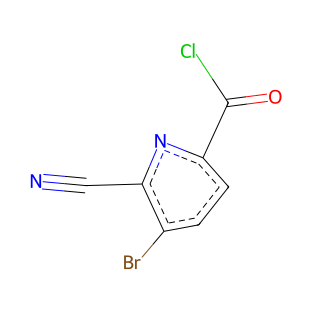 N#Cc1nc(C(=O)Cl)ccc1Br